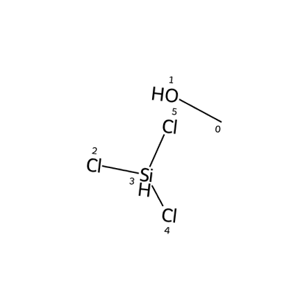 CO.Cl[SiH](Cl)Cl